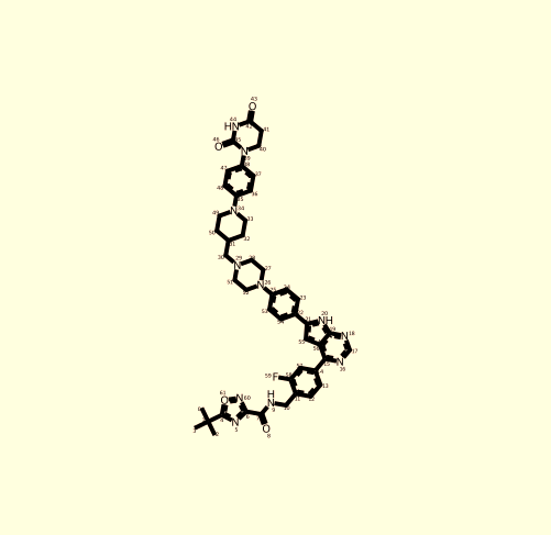 CC(C)(C)c1nc(C(=O)NCc2ccc(-c3ncnc4[nH]c(-c5ccc(N6CCN(CC7CCN(c8ccc(N9CCC(=O)NC9=O)cc8)CC7)CC6)cc5)cc34)cc2F)no1